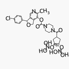 Cc1ncc2c(c1OC(=O)N1CCN(C(=O)C3C[C@H](ON(O)O)[C@H](ON(O)O)C3)CC1)COC2c1ccc(Cl)cc1